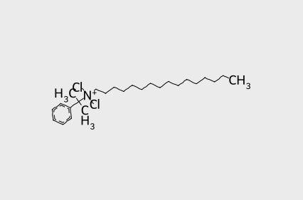 CCCCCCCCCCCCCCCC[N+](Cl)(Cl)C(C)(C)c1ccccc1